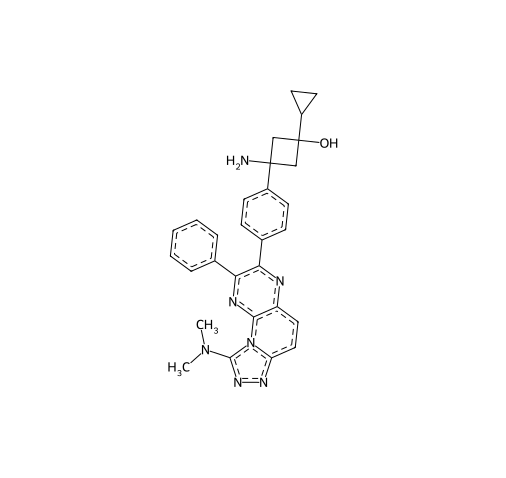 CN(C)c1nnc2ccc3nc(-c4ccc(C5(N)CC(O)(C6CC6)C5)cc4)c(-c4ccccc4)nc3n12